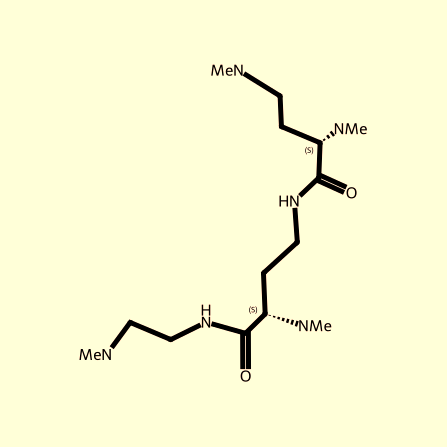 CNCCNC(=O)[C@H](CCNC(=O)[C@H](CCNC)NC)NC